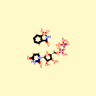 O=C1NS(=O)(=O)c2ccccc21.O=c1ccn([C@@H]2O[C@H](COP(=O)(O)OP(=O)(O)O)[C@@H](O)[C@H]2O)c(=O)[nH]1